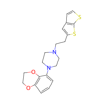 c1cc2c(c(N3CCN(CCc4cc5ccsc5s4)CC3)c1)OCCO2